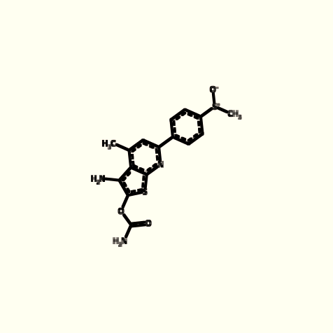 Cc1cc(-c2ccc([S+](C)[O-])cc2)nc2sc(OC(N)=O)c(N)c12